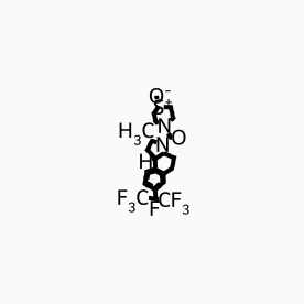 CC1C[S+]([O-])CCN1C(=O)N1CC[C@H]2c3ccc(C(F)(C(F)(F)F)C(F)(F)F)cc3CCC21